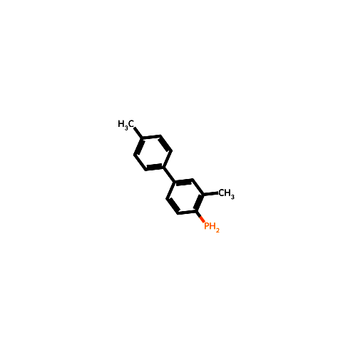 Cc1ccc(-c2ccc(P)c(C)c2)cc1